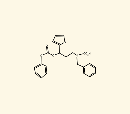 O=C(Oc1ccccc1)OC(CCN(Cc1ccccc1)C(=O)O)c1cccs1